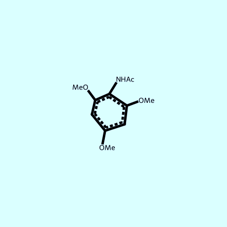 COc1cc(OC)c(NC(C)=O)c(OC)c1